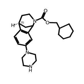 O=C(OCC1CCCCC1)N1CC[C@H]2CC1c1cc(N3CCNCC3)ccc12